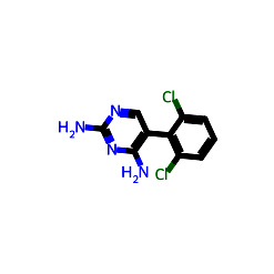 Nc1ncc(-c2c(Cl)cccc2Cl)c(N)n1